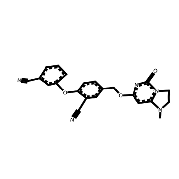 CN1CCn2c1cc(OCc1ccc(Oc3cccc(C#N)c3)c(C#N)c1)nc2=O